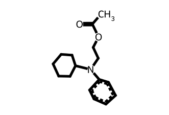 CC(=O)OCCN(c1ccccc1)C1CCCCC1